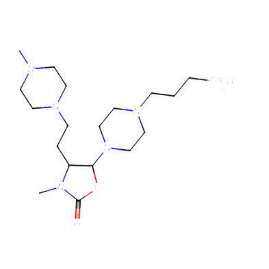 CN1CCN(CCC2C(N3CCN(CCCC(=O)O)CC3)OC(=O)N2C)CC1